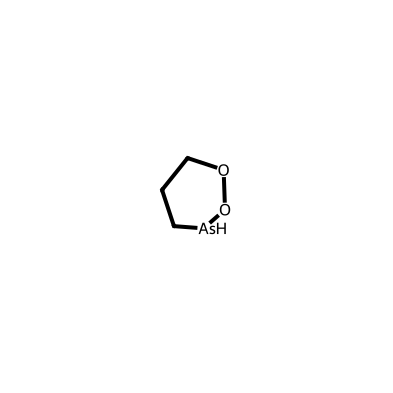 C1COO[AsH]C1